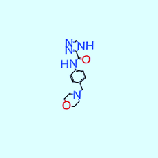 O=C(Nc1ccc(CN2CCOCC2)cc1)c1nnc[nH]1